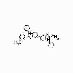 Cc1cccc(-c2nc3cc(-c4ccc5c(c4)nc(C)n5-c4ccccc4)ccc3n2-c2ccccc2)c1